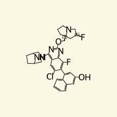 Oc1cc(-c2c(Cl)cc3c(N4CC5CCC(C4)N5)nc(OC[C@@]45CCCN4C[C@@H](F)C5)nc3c2F)c2ccccc2c1